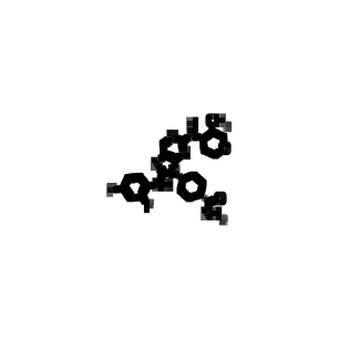 C[C@H]1COCC[C@H]1Nc1ncc2nc(Nc3ccc(F)cc3F)n([C@H]3CC[C@@H](C(N)=O)CC3)c2n1